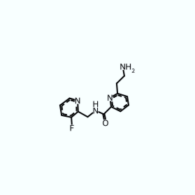 NCCc1cccc(C(=O)NCc2ncccc2F)n1